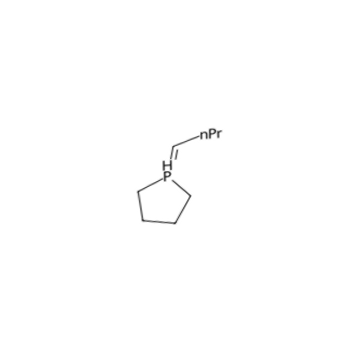 CCCC=[PH]1CCCC1